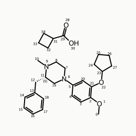 COc1ccc(N2CCN(C)[C@@H](Cc3ccccc3)C2)cc1OC1CCCC1.O=C(O)C1CCC1